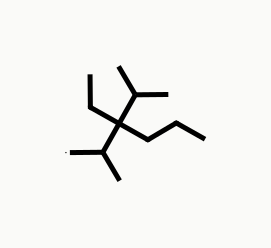 [CH2]C(C)C(CC)(CCC)C(C)C